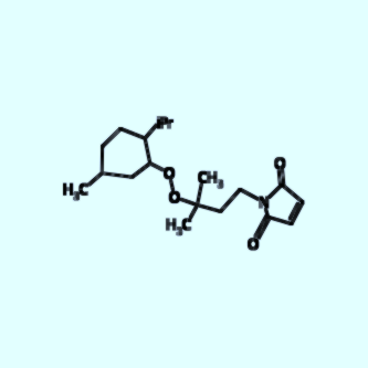 CC1CCC(C(C)C)C(OOC(C)(C)CCN2C(=O)C=CC2=O)C1